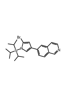 CC(C)[Si](C(C)C)(C(C)C)n1cc(-c2ccc3cnccc3c2)cc1Br